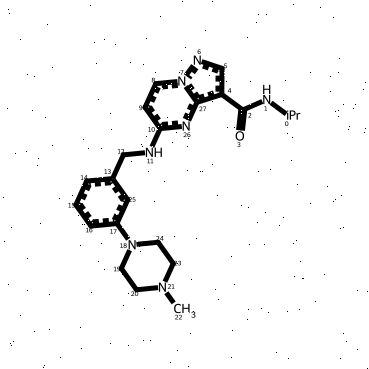 CC(C)NC(=O)c1cnn2ccc(NCc3cccc(N4CCN(C)CC4)c3)nc12